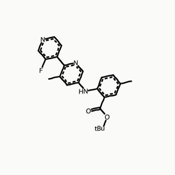 Cc1ccc(Nc2cnc(-c3ccncc3F)c(C)c2)c(C(=O)OC(C)(C)C)c1